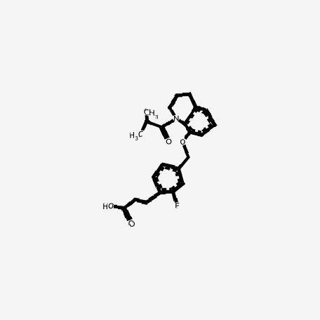 CC(C)C(=O)N1CCCc2cccc(OCc3ccc(CCC(=O)O)c(F)c3)c21